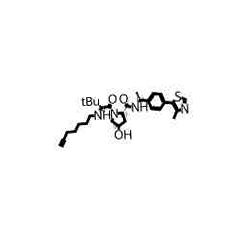 C#CCCCCCN[C@H](C(=O)N1C[C@H](O)C[C@H]1C(=O)N[C@@H](C)c1ccc(-c2scnc2C)cc1)C(C)(C)C